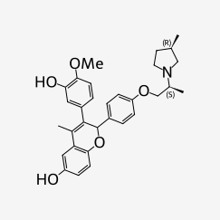 COc1ccc(C2=C(C)c3cc(O)ccc3OC2c2ccc(OC[C@H](C)N3CC[C@@H](C)C3)cc2)cc1O